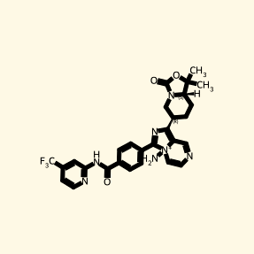 CC1(C)OC(=O)N2C[C@H](C3=C4C=NC=C[N+]4(N)C(c4ccc(C(=O)Nc5cc(C(F)(F)F)ccn5)cc4)=N3)CC[C@H]21